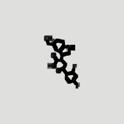 CCc1ccc2[nH]cc(C(CC(=O)c3ccc(F)cc3F)C(=O)O)c2c1